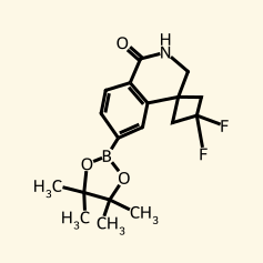 CC1(C)OB(c2ccc3c(c2)C2(CNC3=O)CC(F)(F)C2)OC1(C)C